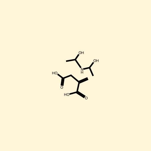 C=C(CC(=O)O)C(=O)O.CC(O)NC(C)O